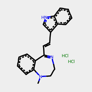 CN1CCN=C(C=Cc2c[nH]c3ccccc23)c2ccccc21.Cl.Cl